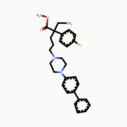 CCC(CCCN1CCN(c2ccc(-c3ccccc3)cc2)CC1)(C(=O)OC)c1ccc(F)cc1